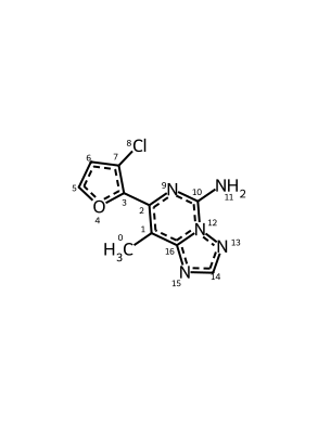 Cc1c(-c2occc2Cl)nc(N)n2ncnc12